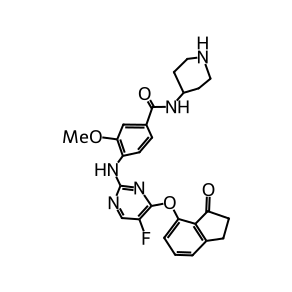 COc1cc(C(=O)NC2CCNCC2)ccc1Nc1ncc(F)c(Oc2cccc3c2C(=O)CC3)n1